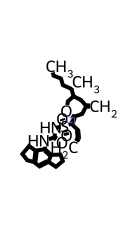 C=C=C/C(=C1\CC(=C)CC(C(C)CCCC)CO1)S(=O)(=O)NC(=O)Nc1c2c(cc3c1CCC3)CCC2